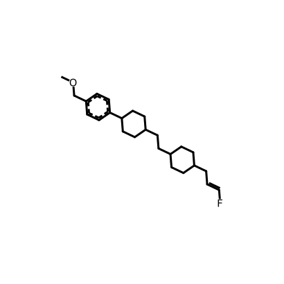 COCc1ccc(C2CCC(CCC3CCC(CC=CF)CC3)CC2)cc1